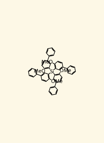 COc1ccc(-c2ccccc2)cc1[Si](c1cc(-c2ccccc2)ccc1OC)(c1cc(-c2ccccc2)ccc1OC)c1cc(-c2ccccc2)ccc1OC